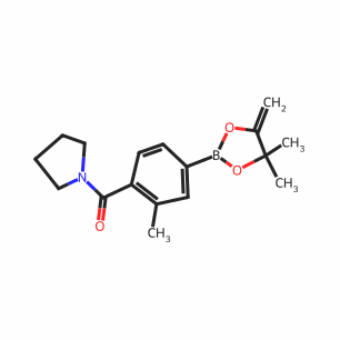 C=C1OB(c2ccc(C(=O)N3CCCC3)c(C)c2)OC1(C)C